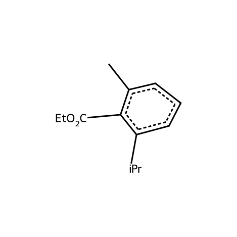 CCOC(=O)c1c(C)cccc1C(C)C